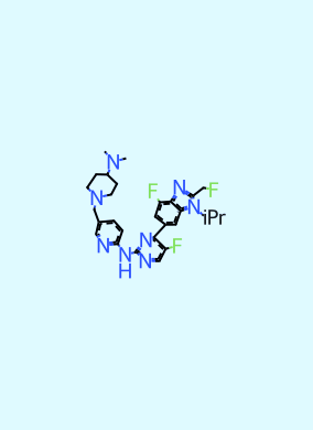 CC(C)n1c(CF)nc2c(F)cc(-c3nc(Nc4ccc(CN5CCC(N(C)C)CC5)cn4)ncc3F)cc21